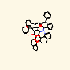 Cc1ccccc1-c1c(C)cccc1N(c1cc(-c2ccc3c(c2)CCC3)c2c(c1)C1(c3ccccc3O2)c2ccccc2-c2ccccc21)c1ccc(-c2ccccc2)c2ccccc12